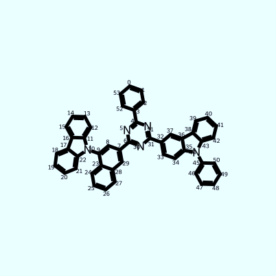 c1ccc(-c2nc(-c3cc(-n4c5ccccc5c5ccccc54)c4ccccc4c3)nc(-c3ccc4c(c3)c3ccccc3n4-c3ccccc3)n2)cc1